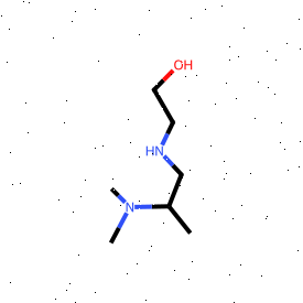 CC(CNCCO)N(C)C